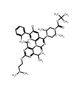 CC(C)c1nc(OCCN(C)C)nc(C(C)C)c1-n1c(=O)nc(N2C[C@@H](C)N(C(=O)OC(C)(C)C)C[C@@H]2C)c2cc(Cl)c(-c3ccccc3F)nc21